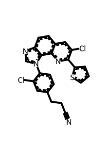 N#CCCc1ccc(-n2cnc3ccc4cc(Cl)c(-c5cccs5)nc4c32)c(Cl)c1